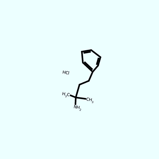 CC(C)(N)CCc1ccccc1.Cl